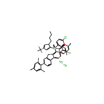 Cl.Cl.[CH2]=[Zr]([C]1=CC(C(C)(C)C)=CC1CCCC)([c]1ccc(Cl)cc1)([c]1ccc(Cl)cc1)[c]1c(-c2c(C)cc(C)cc2C)ccc2c1Cc1cc(-c3c(C)cc(C)cc3C)ccc1-2